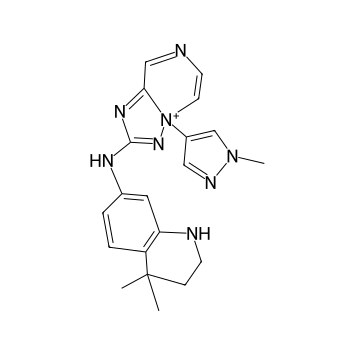 Cn1cc([N+]23C=CN=CC2=NC(Nc2ccc4c(c2)NCCC4(C)C)=N3)cn1